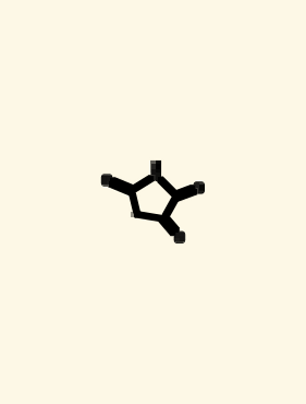 O=C1[CH]C(=O)C(=O)N1